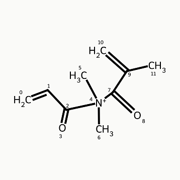 C=CC(=O)[N+](C)(C)C(=O)C(=C)C